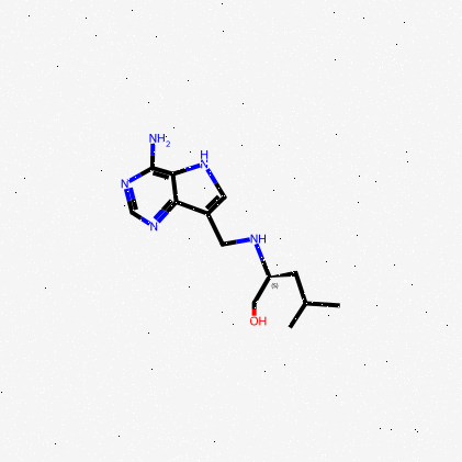 CC(C)C[C@@H](CO)NCc1c[nH]c2c(N)ncnc12